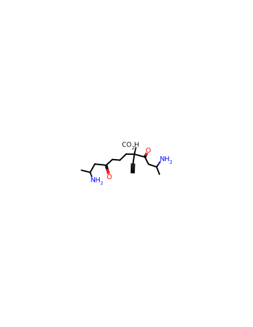 C#CC(CCCC(=O)CC(C)N)(C(=O)O)C(=O)CC(C)N